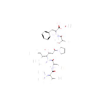 CCC(C)C(C(CC(=O)N1CCC[C@H]1C(OC)C(C)C(=O)NC(Cc1ccccc1)C(=O)OC)OC)N(C)C(=O)C(CS)NC(=O)C(C(C)C)N(C)C